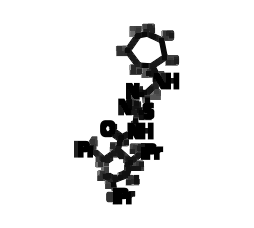 CC(C)c1cc(C(C)C)c(C(=O)Nc2nnc(NC3CCCCCC3)s2)c(C(C)C)c1